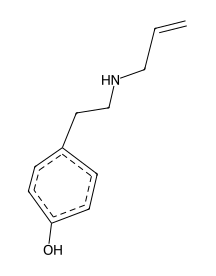 C=CCNCCc1ccc(O)cc1